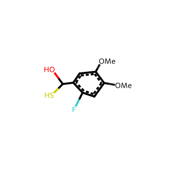 COc1cc(F)c(C(O)S)cc1OC